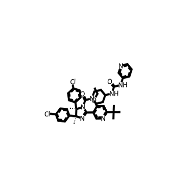 CCOc1cc(C(C)(C)C)ncc1C1=N[C@@](C)(c2ccc(Cl)cc2)[C@@](C)(c2ccc(Cl)cc2)N1C(=O)N1CCC(NC(=O)Nc2cccnc2)CC1